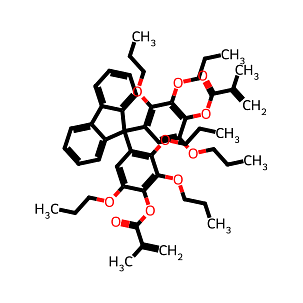 C=C(C)C(=O)Oc1c(OCCC)cc(C2(c3cc(OCCC)c(OC(=O)C(=C)C)c(OCCC)c3OCCC)c3ccccc3-c3ccccc32)c(OCCC)c1OCCC